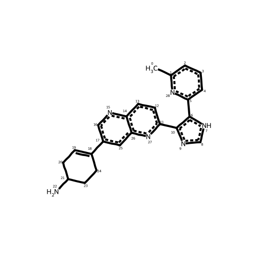 Cc1cccc(-c2[nH]cnc2-c2ccc3ncc(C4=CCC(N)CC4)cc3n2)n1